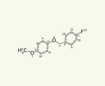 COc1ccc(OCc2ccc(F)cc2)cc1